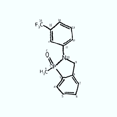 CP1(=O)c2ccccc2CN1c1cccc(C(F)(F)F)c1